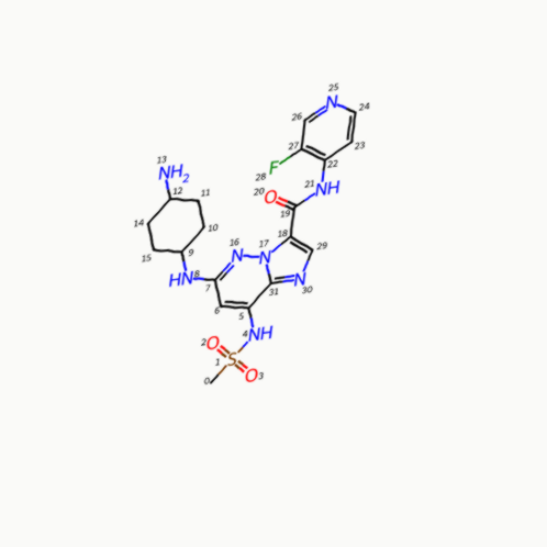 CS(=O)(=O)Nc1cc(NC2CCC(N)CC2)nn2c(C(=O)Nc3ccncc3F)cnc12